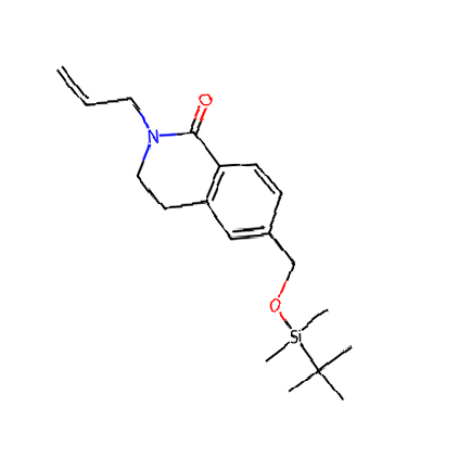 C=CCN1CCc2cc(CO[Si](C)(C)C(C)(C)C)ccc2C1=O